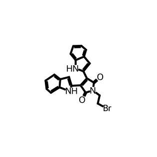 O=C1C(c2cc3ccccc3[nH]2)=C(c2cc3ccccc3[nH]2)C(=O)N1CCBr